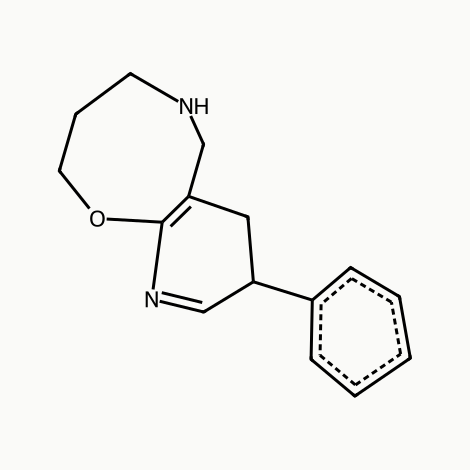 C1=NC2=C(CNCCCO2)CC1c1ccccc1